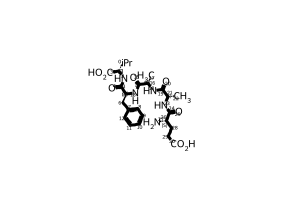 CC(C)[C@H](NC(=O)[C@H](Cc1ccccc1)NC(=O)[C@H](C)NC(=O)[C@H](C)NC(=O)[C@@H](N)CCC(=O)O)C(=O)O